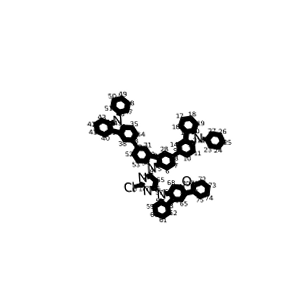 Clc1nc(-n2c3ccc(-c4ccc5c(c4)c4ccccc4n5-c4ccccc4)cc3c3cc(-c4ccc5c(c4)c4ccccc4n5-c4ccccc4)ccc32)cc(-n2c3ccccc3c3cc4c(cc32)oc2ccccc24)n1